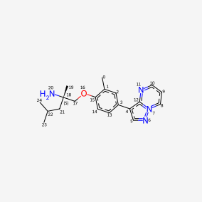 Cc1cc(-c2cnn3cccnc23)ccc1OC[C@@](C)(N)CC(C)C